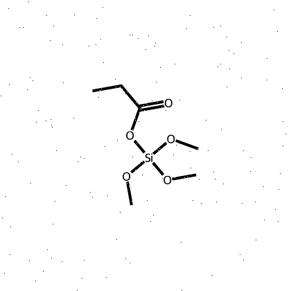 CCC(=O)O[Si](OC)(OC)OC